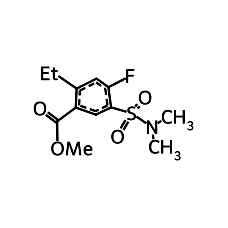 CCc1cc(F)c(S(=O)(=O)N(C)C)cc1C(=O)OC